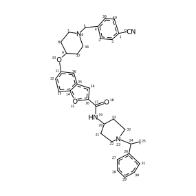 N#Cc1ccc(CN2CCC(Oc3ccc4oc(C(=O)NC5CCN(C(I)c6ccccc6)CC5)cc4c3)CC2)cc1